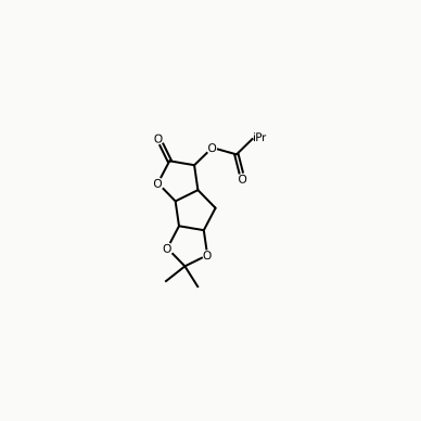 CC(C)C(=O)OC1C(=O)OC2C1CC1OC(C)(C)OC12